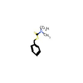 CN(C(=O)O)C(=S)SCc1ccccc1